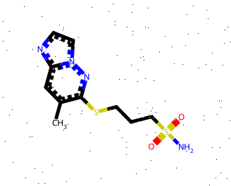 Cc1cc2nccn2nc1SCCCS(N)(=O)=O